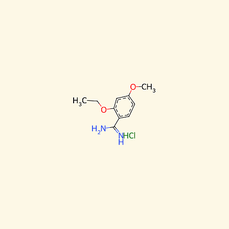 CCOc1cc(OC)ccc1C(=N)N.Cl